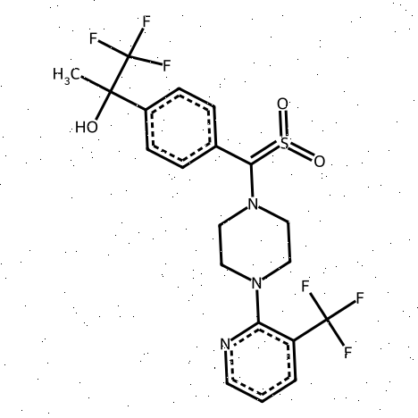 CC(O)(c1ccc(C(N2CCN(c3ncccc3C(F)(F)F)CC2)=S(=O)=O)cc1)C(F)(F)F